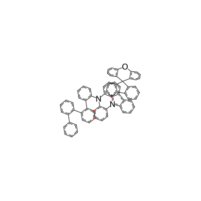 c1ccc(-c2ccccc2-c2ccccc2-c2ccccc2N(c2ccc3c(c2)-c2ccccc2C32c3ccccc3Oc3ccccc32)c2ccccc2-n2c3ccccc3c3ccccc32)cc1